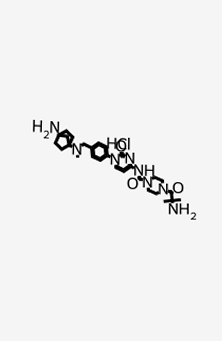 CN(Cc1ccc(-n2ccc(NC(=O)N3CCN(C(=O)C(C)(C)N)CC3)nc2=O)cc1)C12CCC(N)(CC1)C2.Cl